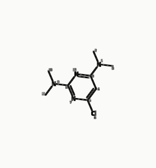 CN(C)c1cc(Cl)nc(N(C)C)n1